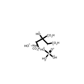 Cl.O=C(O)CC(O)(CC(=O)O)C(=O)O.O=P(O)(O)O.[NaH]